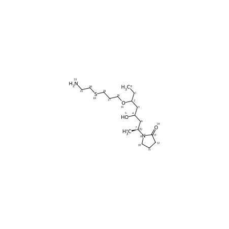 CCC(CC(O)C[C@H](C)N1CCCC1=O)OCCCSCCN